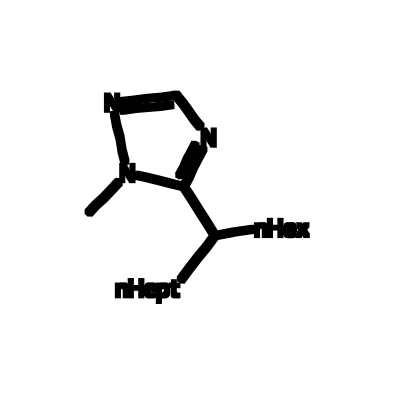 CCCCCCCC(CCCCCC)c1ncnn1C